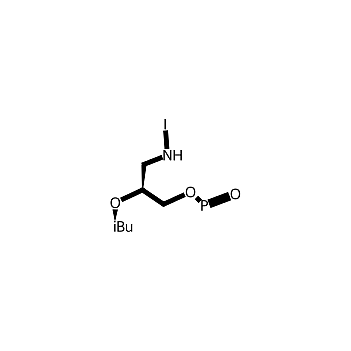 CC[C@H](C)O[C@@H](CNI)COP=O